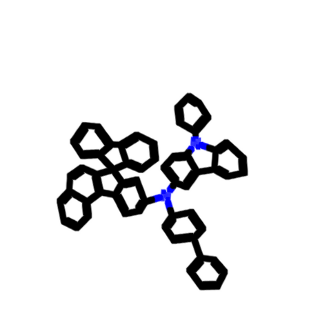 c1ccc(-c2ccc(N(c3ccc4c(c3)C3(c5ccccc5-c5ccccc53)c3ccc5ccccc5c3-4)c3ccc4c(c3)c3ccccc3n4-c3ccccc3)cc2)cc1